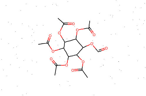 CC(=O)OC1C(OC=O)C(OC(C)=O)C(OC(C)=O)C(OC(C)=O)C1OC(C)=O